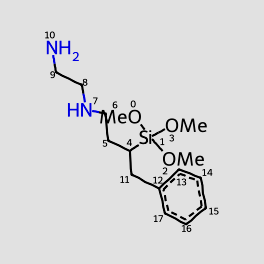 CO[Si](OC)(OC)C(CCNCCN)Cc1ccccc1